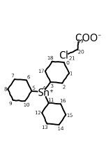 C1CC[CH]([Sn+]([CH]2CCCCC2)[CH]2CCCCC2)CC1.O=C([O-])CCl